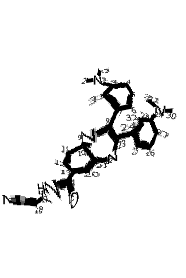 CN(C)c1cccc(-c2nc3ccc(C(=O)NCC#N)cc3nc2-c2cccc(N(C)C)c2)c1